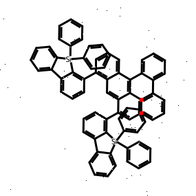 c1ccc(-c2ccccc2-c2c3cccc(-c4cccc5c4[Si](c4ccccc4)(c4ccccc4)c4ccccc4-5)c3cc3c(-c4cccc5c4[Si](c4ccccc4)(c4ccccc4)c4ccccc4-5)cccc23)cc1